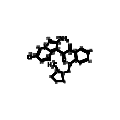 CN1CCC[C@H]1COc1ccncc1NC(=O)c1c(N)nn2cc(Cl)cnc12